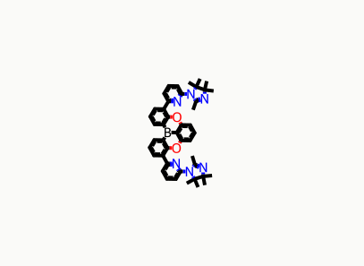 CC1=NC(C)(C)C(C)(C)N1c1cccc(-c2cccc3c2Oc2cccc4c2B3c2cccc(-c3cccc(N5C(C)=NC(C)(C)C5(C)C)n3)c2O4)n1